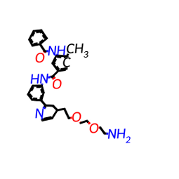 Cc1ccc(C(=O)Nc2cccc(C3=NC=CC(CCOCCOCCN)C3)c2)cc1NC(=O)c1ccccc1